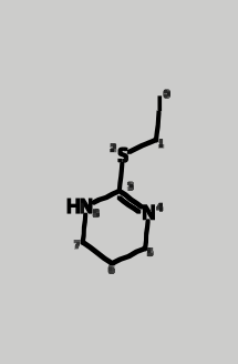 ICSC1=NCCCN1